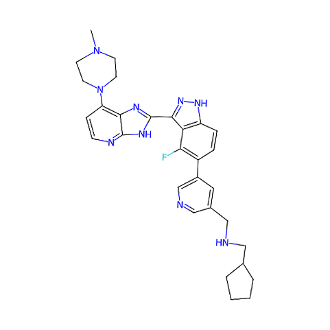 CN1CCN(c2ccnc3[nH]c(-c4n[nH]c5ccc(-c6cncc(CNCC7CCCC7)c6)c(F)c45)nc23)CC1